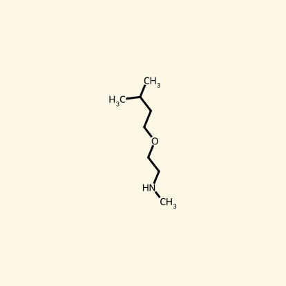 CNCCOCCC(C)C